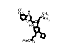 COC(=O)CCc1cc(NC(=O)C2CNc3cc(OC(F)(F)F)ccc3O2)c(C#CCN(C)C)cc1C1CCCC1